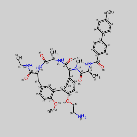 CCCCc1ccc(-c2ccc(C(=O)N[C@@H](C)C(=O)N(C)[C@@H]3C(=O)N[C@@H](C)C(=O)N[C@H](C(=O)NCC#N)Cc4ccc(OCCC)c(c4)-c4cc3ccc4OCCN)cc2)cc1